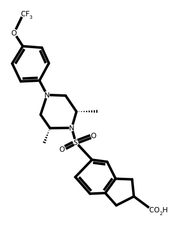 C[C@@H]1CN(c2ccc(OC(F)(F)F)cc2)C[C@H](C)N1S(=O)(=O)c1ccc2c(c1)CC(C(=O)O)C2